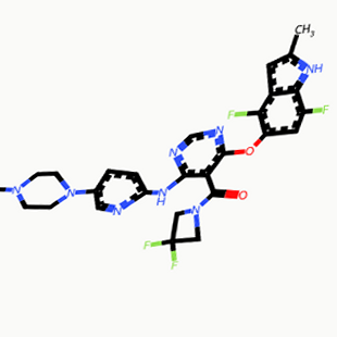 Cc1cc2c(F)c(Oc3ncnc(Nc4ccc(N5CCN(C)CC5)cn4)c3C(=O)N3CC(F)(F)C3)cc(F)c2[nH]1